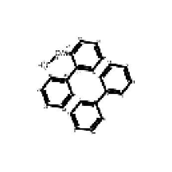 COC.c1ccc(-c2ccccc2)cc1.c1ccc(-c2ccccc2)cc1